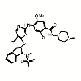 COc1cc(C(=O)NN2CCN(C)CC2)c(Cl)cc1Nc1ncc(Cl)c(O[C@@H]2Cc3ccccc3[C@H]2N(C)S(C)(=O)=O)n1